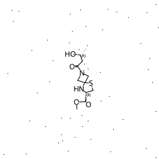 COC(=O)[C@@H]1CSC2(CN(C(=O)C[C@@H](C)O)C2)N1